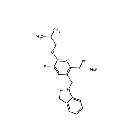 CC(C)COc1cc(CBr)c(CN2CCc3ccccc32)cc1F.[NaH]